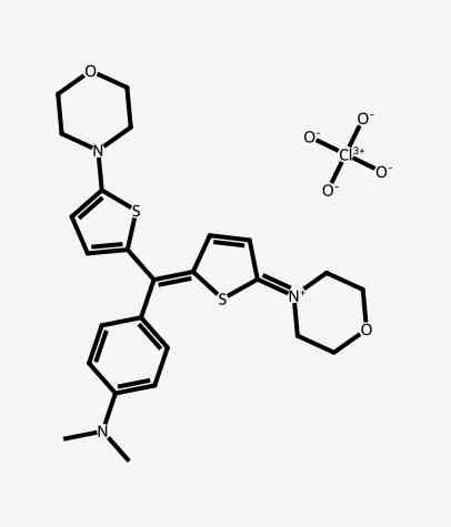 CN(C)c1ccc(C(=C2C=CC(=[N+]3CCOCC3)S2)c2ccc(N3CCOCC3)s2)cc1.[O-][Cl+3]([O-])([O-])[O-]